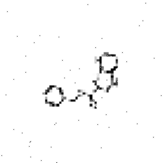 O=C(OCc1ccccc1)C1C=Nc2cccnc2O1